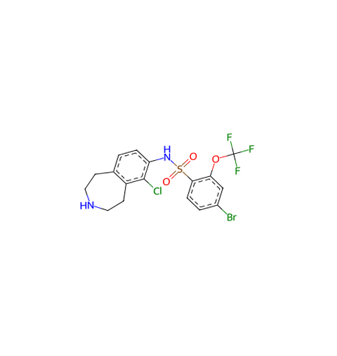 O=S(=O)(Nc1ccc2c(c1Cl)CCNCC2)c1ccc(Br)cc1OC(F)(F)F